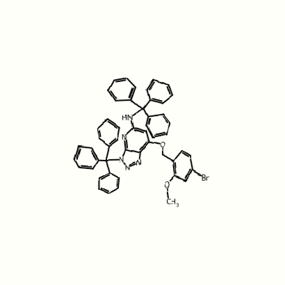 COc1cc(Br)ccc1COc1cc(NC(c2ccccc2)(c2ccccc2)c2ccccc2)nc2c1nnn2C(c1ccccc1)(c1ccccc1)c1ccccc1